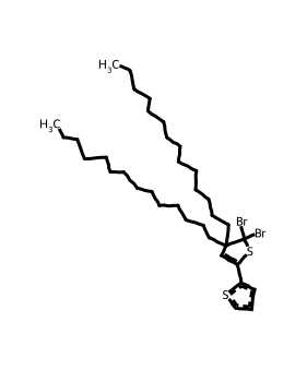 CCCCCCCCCCCCCCC1(CCCCCCCCCCCCCC)C=C(c2cccs2)SC1(Br)Br